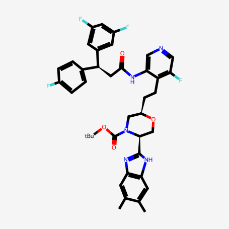 Cc1cc2nc([C@@H]3CO[C@H](CCc4c(F)cncc4NC(=O)C[C@@H](c4ccc(F)cc4)c4cc(F)cc(F)c4)CN3C(=O)OC(C)(C)C)[nH]c2cc1C